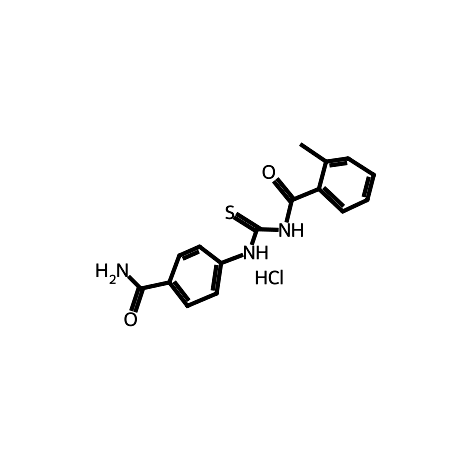 Cc1ccccc1C(=O)NC(=S)Nc1ccc(C(N)=O)cc1.Cl